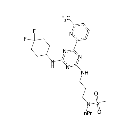 CCCN(CCCNc1nc(NC2CCC(F)(F)CC2)nc(-c2cccc(C(F)(F)F)n2)n1)S(C)(=O)=O